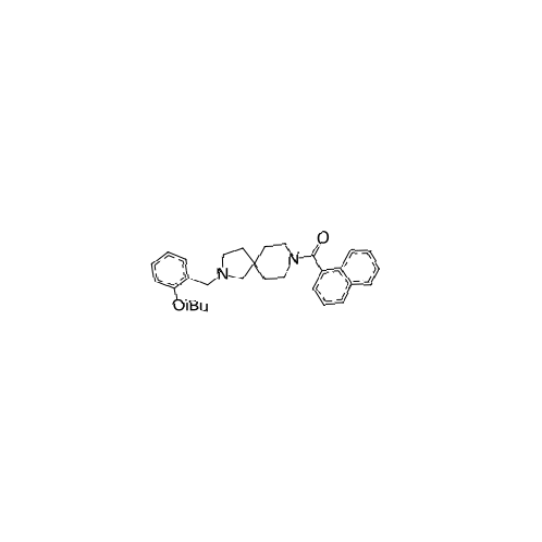 CC(C)COc1ccccc1CN1CCC2(CCN(C(=O)c3cccc4ccccc34)CC2)C1